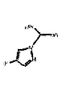 CCCC(CCC)n1cc(C(C)C)cn1